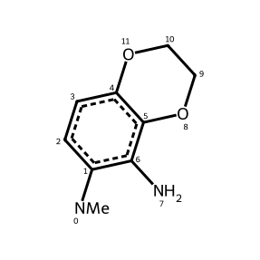 CNc1ccc2c(c1N)OCCO2